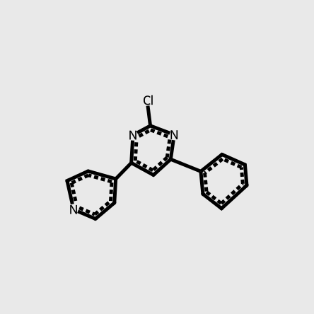 Clc1nc(-c2ccccc2)cc(-c2ccncc2)n1